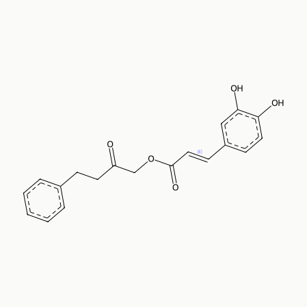 O=C(CCc1ccccc1)COC(=O)/C=C/c1ccc(O)c(O)c1